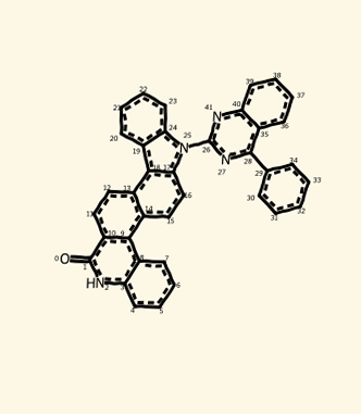 O=c1[nH]c2ccccc2c2c1ccc1c2ccc2c1c1ccccc1n2-c1nc(-c2ccccc2)c2ccccc2n1